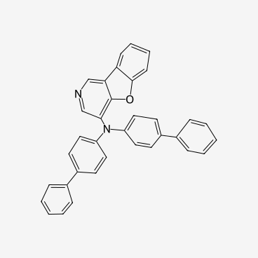 c1ccc(-c2ccc(N(c3ccc(-c4ccccc4)cc3)c3cncc4c3oc3ccccc34)cc2)cc1